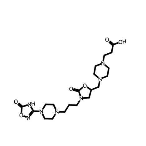 O=C(O)CCN1CCN(CC2CN(CCCN3CCN(c4noc(=O)[nH]4)CC3)C(=O)O2)CC1